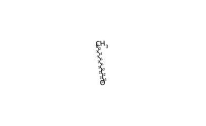 CCCCCCCCCC/C=C/CCC=O